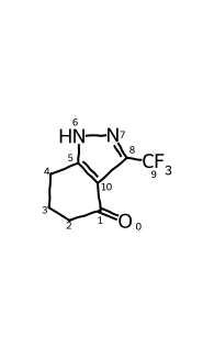 O=C1CCCc2[nH]nc(C(F)(F)F)c21